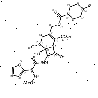 CON=C(C(=O)NC1C(=O)N2C(C(=O)O)=C(COC(=O)N3CCN(C)CC3)C[S+]([O-])[C@@H]12)c1ccco1